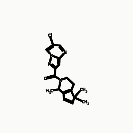 CC1C2=C(CCN1C(=O)c1cc3ncc(Cl)cn3n1)C(C)(C)C=C2